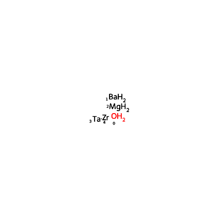 O.[BaH2].[MgH2].[Ta].[Zr]